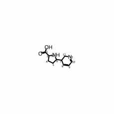 O=C(O)C1CCC(C2C=CC=NC2)N1